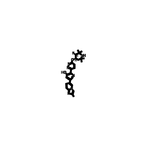 Cc1cn2cc(-c3cnc(-c4ccc(O[C@@H]5CC(C)(C)NC(C)(C)[C@@H]5F)nn4)c(O)c3)ccc2n1